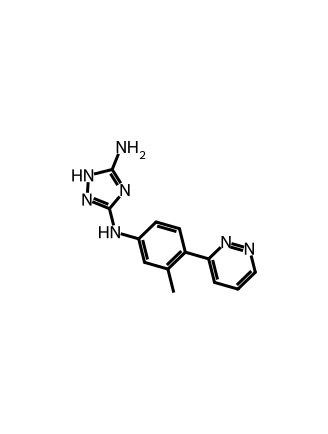 Cc1cc(Nc2n[nH]c(N)n2)ccc1-c1cccnn1